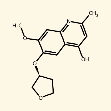 COc1cc2nc(C)cc(O)c2cc1O[C@H]1CCOC1